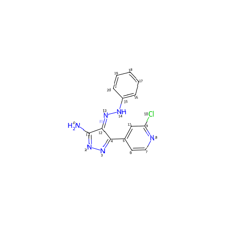 NC1=NN=C(c2ccnc(Cl)c2)/C1=N\Nc1ccccc1